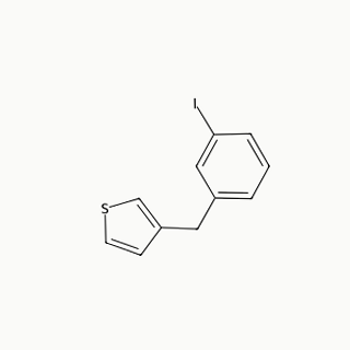 Ic1cccc(Cc2ccsc2)c1